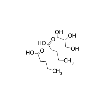 CCCCC(=O)O.CCCCC(=O)O.OCC(O)CO